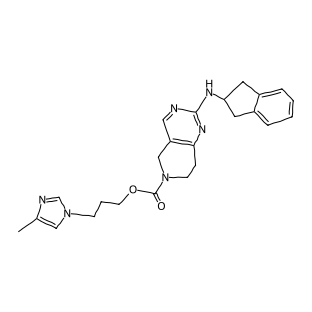 Cc1cn(CCCOC(=O)N2CCc3nc(NC4Cc5ccccc5C4)ncc3C2)cn1